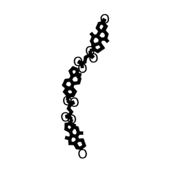 CC1CC2(C)C(OC(=O)CCC(=O)Oc3ccc4c(c3)CCC3C4CCC4(C)C(OC(=O)CCC(=O)OC5CCC6C7C(C)CC8=CC(=O)CCC8C7C(C)CC56C)CCC34)CCC2C2C(C)CC3=CC(=O)CCC3C12